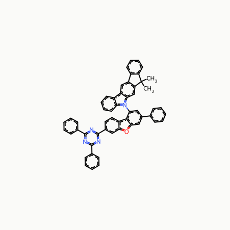 CC1(C)c2ccccc2-c2cc3c4ccccc4n(-c4cc(-c5ccccc5)cc5oc6cc(-c7nc(-c8ccccc8)nc(-c8ccccc8)n7)ccc6c45)c3cc21